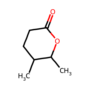 CC1CCC(=O)OC1C